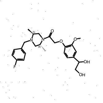 COc1cc(C(O)CO)ccc1OCC(=O)N1C[C@H](C)N(Cc2ccc(F)cc2)C[C@H]1C